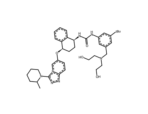 CC1CCCCN1c1nnc2ccc(O[C@@H]3CC[C@H](NC(=O)Nc4cc(CN(CCO)CCO)cc(C(C)(C)C)c4)c4ccccc43)cn12